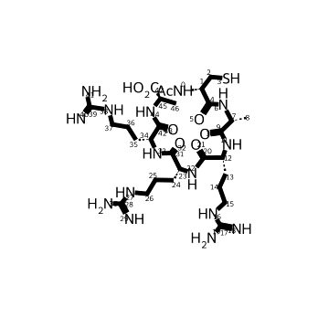 CC(=O)N[C@H](CS)C(=O)N[C@H](C)C(=O)N[C@H](CCCNC(=N)N)C(=O)N[C@H](CCCNC(=N)N)C(=O)N[C@H](CCCNC(=N)N)C(=O)N[C@H](C)C(=O)O